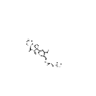 COc1cc2c(cc1CON(C)CCN1CCCC1)N=C(N(C)C1CCOCC1)C21CCC1